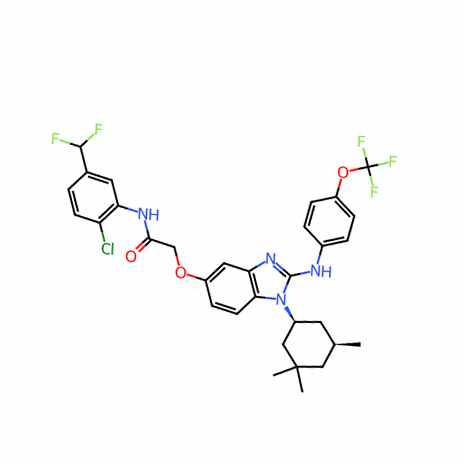 C[C@@H]1C[C@H](n2c(Nc3ccc(OC(F)(F)F)cc3)nc3cc(OCC(=O)Nc4cc(C(F)F)ccc4Cl)ccc32)CC(C)(C)C1